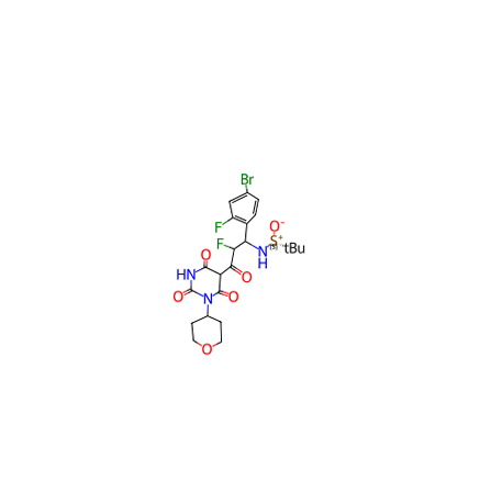 CC(C)(C)[S@@+]([O-])NC(c1ccc(Br)cc1F)C(F)C(=O)C1C(=O)NC(=O)N(C2CCOCC2)C1=O